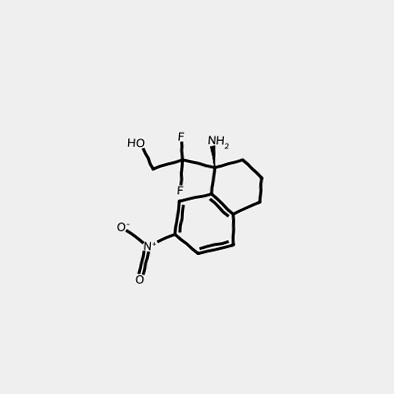 N[C@@]1(C(F)(F)CO)CCCc2ccc([N+](=O)[O-])cc21